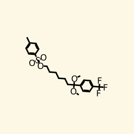 COC(CCCCCCOS(=O)(=O)c1ccc(C)cc1)(OC)c1ccc(C(F)(F)F)cc1